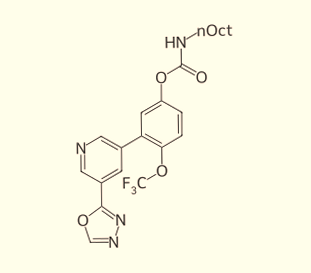 CCCCCCCCNC(=O)Oc1ccc(OC(F)(F)F)c(-c2cncc(-c3nnco3)c2)c1